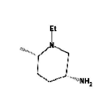 CCN1C[C@H](N)CC[C@@H]1C